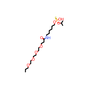 CCCOCCOCCOCCOCCC(=O)NCCCCCCOP(O)(=S)OC(C)C